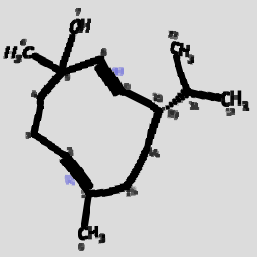 C/C1=C\CCC(C)(O)/C=C/[C@H](C(C)C)CC1